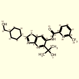 CC(C)(O)c1nc2nc([C@H]3CC[C@H](CO)CC3)sc2cc1NC(=O)c1cccc(C(F)(F)F)n1